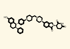 O=C1CC[C@@H](N2Cc3cc(N4CCN(CC5CCN(c6ccc([C@H]7c8ccc(O)cc8CC[C@@H]7c7ccccc7)cc6)CC5)CC4)ccc3C2=O)C(=O)N1